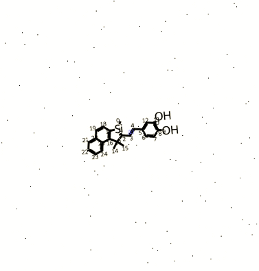 C[Si]1=C(/C=C/c2ccc(O)c(O)c2)C(C)(C)c2c1ccc1ccccc21